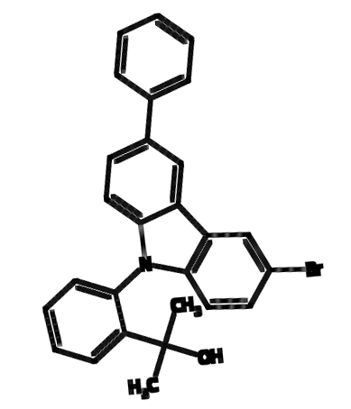 CC(C)(O)c1ccccc1-n1c2ccc(Br)cc2c2cc(-c3ccccc3)ccc21